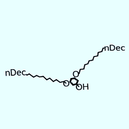 CCCCCCCCCCCCCCCCCCCCCCOc1cc(O)cc(OCCCCCCCCCCCCCCCCCCCCCC)c1